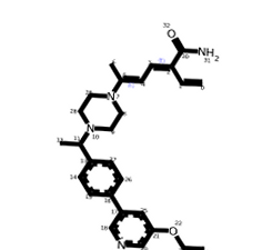 C=C/C(=C\C=C(/C)N1CCN(C(C)c2ccc(-c3cncc(OCC)c3)cc2)CC1)C(N)=O